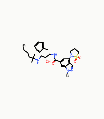 CCn1ncc2c(N3CCCS3(=O)=O)cc(C(=O)N[C@@H](Cc3ccccc3)[C@H](O)CNC(C)(C)CCCC(C)C)cc21